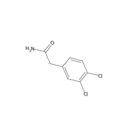 NC(=O)[CH]c1ccc(Cl)c(Cl)c1